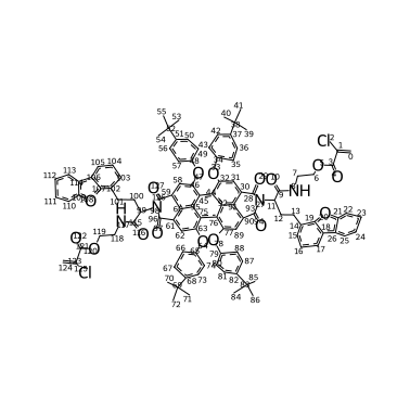 C=C(Cl)C(=O)OCCNC(=O)C(CCc1cccc2c1oc1ccccc12)N1C(=O)c2cc(Oc3ccc(C(C)(C)C)cc3)c3c4c(Oc5ccc(C(C)(C)C)cc5)cc5c6c(cc(Oc7ccc(C(C)(C)C)cc7)c(c7c(Oc8ccc(C(C)(C)C)cc8)cc(c2c37)C1=O)c64)C(=O)N(C(CCc1cccc2c1oc1ccccc12)C(=O)NCCOC(=O)C(=C)Cl)C5=O